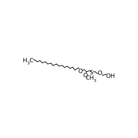 CCCCCCCCCCCCCCCCCCOCC(CSCCOCCO)OC